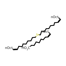 CCCCCCCC/C=C\CCCCCCCC(=O)O.CCCCCCCC/C=C\CCCCCCCCSCCCCCCCC/C=C\CCCCCCCC